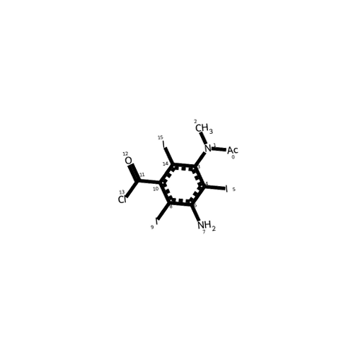 CC(=O)N(C)c1c(I)c(N)c(I)c(C(=O)Cl)c1I